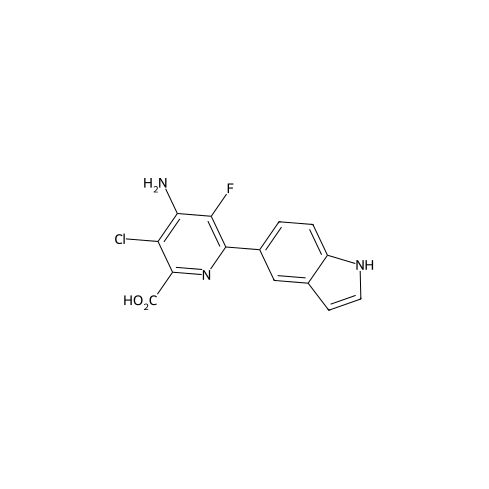 Nc1c(F)c(-c2ccc3[nH]ccc3c2)nc(C(=O)O)c1Cl